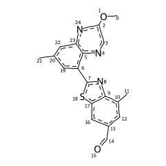 COc1cnc2c(-c3nc4c(C)cc(C=O)cc4s3)cc(C)cc2n1